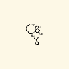 CCc1cc(O)cc2c1C(=O)OCC/C=C/CC/C=C/C(=N/OCC(=O)N1CC=CC1)C2